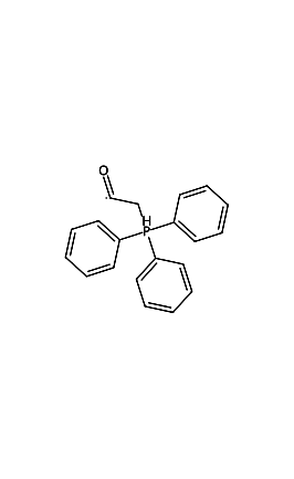 O=[C]C[PH](c1ccccc1)(c1ccccc1)c1ccccc1